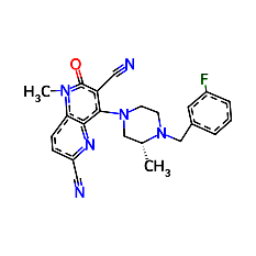 C[C@@H]1CN(c2c(C#N)c(=O)n(C)c3ccc(C#N)nc23)CCN1Cc1cccc(F)c1